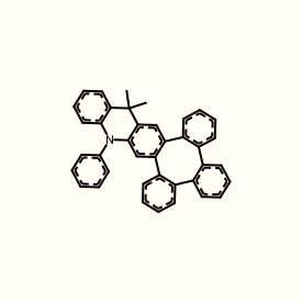 CC1(C)c2ccccc2N(c2ccccc2)c2cc3c(cc21)-c1ccccc1-c1ccccc1-c1ccccc1-3